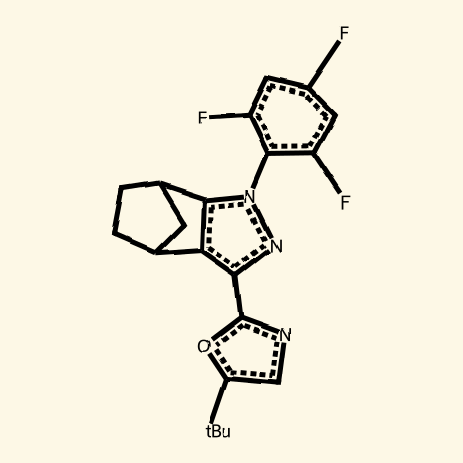 CC(C)(C)c1cnc(-c2nn(-c3c(F)cc(F)cc3F)c3c2C2CCC3C2)o1